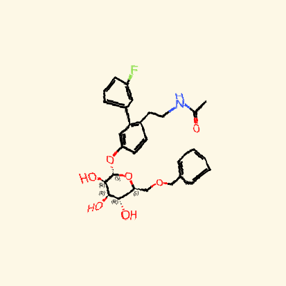 CC(=O)NCCc1ccc(O[C@@H]2O[C@@H](COCc3ccccc3)[C@H](O)[C@@H](O)[C@H]2O)cc1-c1cccc(F)c1